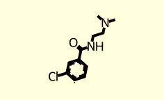 CN(C)CCNC(=O)c1cc[c]c(Cl)c1